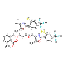 Cc1cccc(COCCCOCc2nc(-c3ccc(C(F)(F)F)cc3S)oc2C)c1C(=O)O.Cc1oc(-c2ccc(C(F)(F)F)cc2S)nc1CI